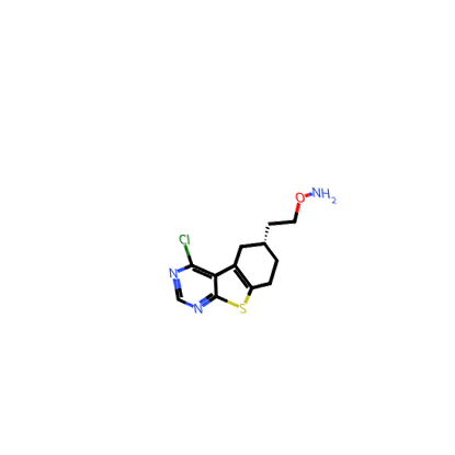 NOCC[C@@H]1CCc2sc3ncnc(Cl)c3c2C1